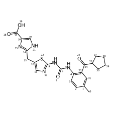 Cc1ccc(NC(=O)Nc2ncc(Cc3nc(C(=O)O)c[nH]3)s2)c(C(=O)C2CCCC2)c1